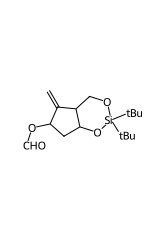 C=C1C(OC=O)CC2O[Si](C(C)(C)C)(C(C)(C)C)OCC12